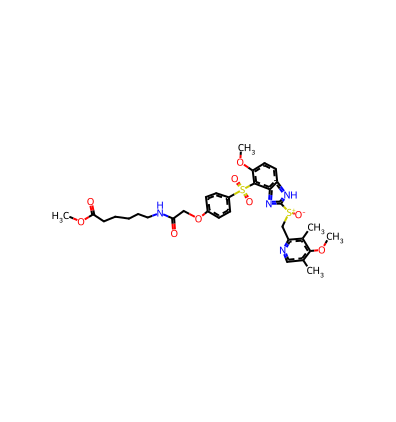 COC(=O)CCCCCNC(=O)COc1ccc(S(=O)(=O)c2c(OC)ccc3[nH]c([S+]([O-])Cc4ncc(C)c(OC)c4C)nc23)cc1